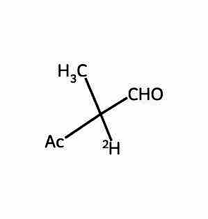 [2H]C(C)(C=O)C(C)=O